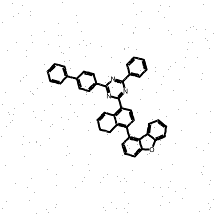 C1=Cc2c(-c3nc(-c4ccccc4)nc(-c4ccc(-c5ccccc5)cc4)n3)ccc(-c3cccc4oc5ccccc5c34)c2CC1